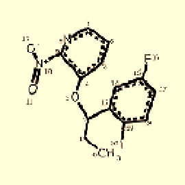 CCC(Oc1cccnc1[N+](=O)[O-])c1cc(F)ccc1I